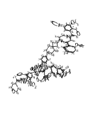 Cc1cc(Cl)cc2c1COC[C@@H]2N1CCN(C2CC3(CCN(c4ccc(C(=O)NS(=O)(=O)c5cc6c(c([N+](=O)[O-])c5)N[C@H](C5CCOCC5)CO6)c(N5c6cc7cc[nH]c7nc6O[C@H]6COCC[C@@H]65)c4)CC3)C2)[C@H](c2ccccc2OC(C)C)C1